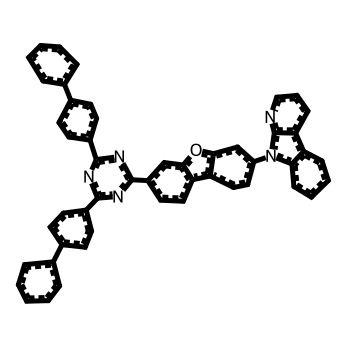 c1ccc(-c2ccc(-c3nc(-c4ccc(-c5ccccc5)cc4)nc(-c4ccc5c(c4)oc4cc(-n6c7ccccc7c7cccnc76)ccc45)n3)cc2)cc1